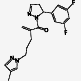 C=C(CCCn1cc(C)cn1)C(=O)N1N=CCC1c1cc(F)cc(F)c1